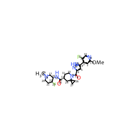 COc1cc(-c2cc(C(=O)N3CC[C@H](C(=O)N[C@@H]4CN(C)CC[C@@H]4F)CC34CC4)n[nH]2)c(F)cn1